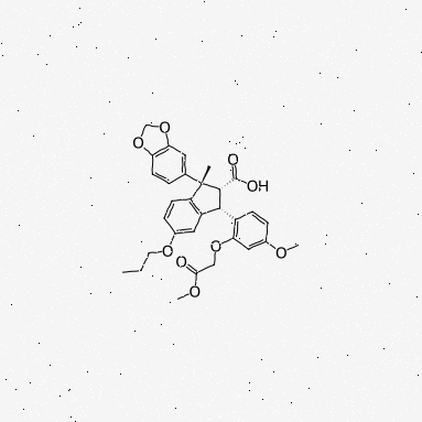 CCCOc1ccc2c(c1)[C@@H](c1ccc(OC)cc1OCC(=O)OC)[C@@H](C(=O)O)[C@@]2(C)c1ccc2c(c1)OCO2